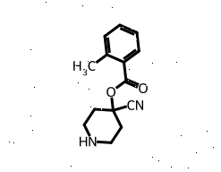 Cc1ccccc1C(=O)OC1(C#N)CCNCC1